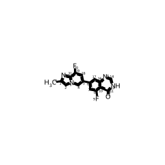 Cc1cn2cc(-c3cc(F)c4c(=O)[nH]cnc4c3)cc(F)c2n1